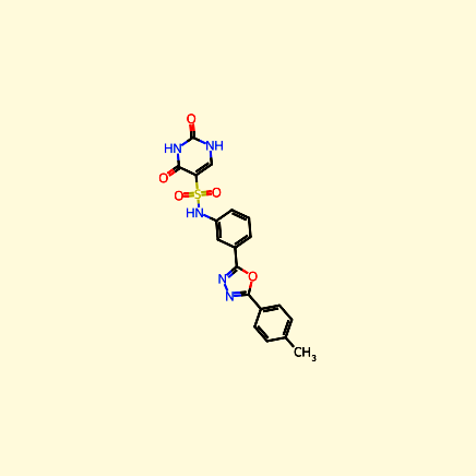 Cc1ccc(-c2nnc(-c3cccc(NS(=O)(=O)c4c[nH]c(=O)[nH]c4=O)c3)o2)cc1